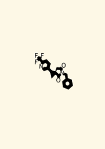 O=C1C[C@]2(CC2c2ccc(C(F)(F)F)nc2)C(=O)N1Cc1ccccc1